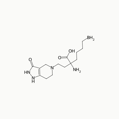 BCCCCC(N)(CCN1CCc2[nH][nH]c(=O)c2C1)C(=O)O